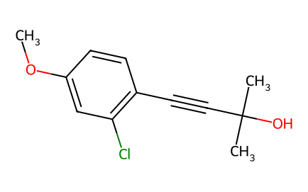 COc1ccc(C#CC(C)(C)O)c(Cl)c1